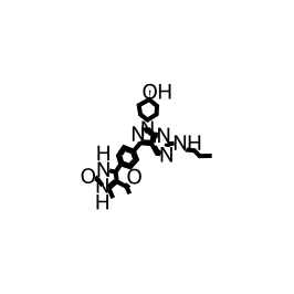 CCCCNc1ncc2c(-c3ccc(C4NC(=O)NC(C)=C4C(C)=O)cc3)nn([C@H]3CC[C@@H](O)CC3)c2n1